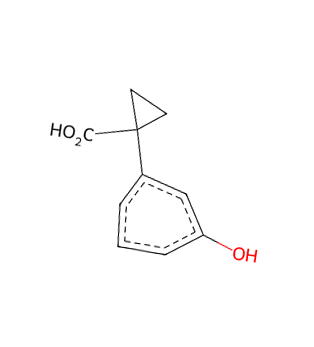 O=C(O)C1(c2cccc(O)c2)CC1